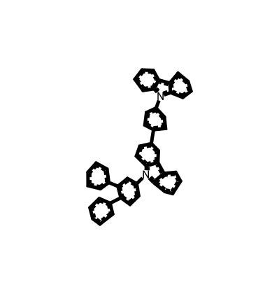 c1ccc(-c2ccc(-n3c4ccccc4c4cc(-c5ccc(-n6c7ccccc7c7ccccc76)cc5)ccc43)cc2-c2ccccc2)cc1